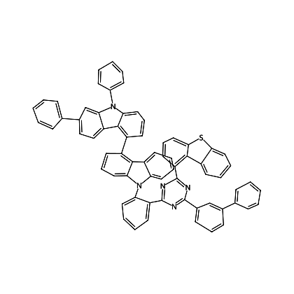 c1ccc(-c2cccc(-c3nc(-c4ccccc4-n4c5ccccc5c5c(-c6cccc7c6c6ccc(-c8ccccc8)cc6n7-c6ccccc6)cccc54)nc(-c4cccc5sc6ccccc6c45)n3)c2)cc1